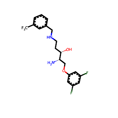 N[C@@H](COc1cc(F)cc(F)c1)[C@@H](O)CCNCc1cccc(C(F)(F)F)c1